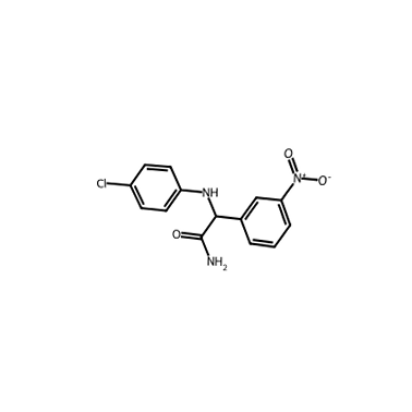 NC(=O)C(Nc1ccc(Cl)cc1)c1cccc([N+](=O)[O-])c1